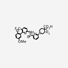 COc1ccc(Cl)c(-c2nc(N[S+]([O-])c3cccc(N4CCC(C)(C(=O)O)CC4)n3)ccc2C(F)(F)F)c1